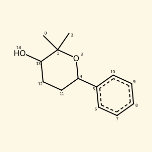 CC1(C)OC(c2ccccc2)CCC1O